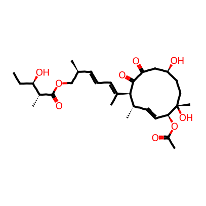 CC[C@@H](O)[C@@H](C)C(=O)OC[C@@H](C)/C=C/C=C(\C)[C@H]1C(=O)C(=O)C[C@@H](O)CC[C@](C)(O)[C@@H](OC(C)=O)/C=C/[C@@H]1C